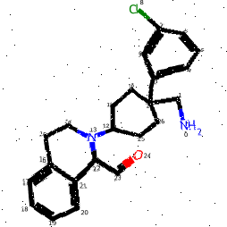 NCC1(c2cccc(Cl)c2)CCC(N2CCc3ccccc3C2C=O)CC1